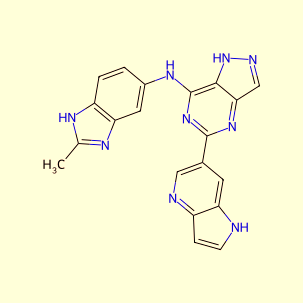 Cc1nc2cc(Nc3nc(-c4cnc5cc[nH]c5c4)nc4cn[nH]c34)ccc2[nH]1